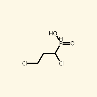 O=[PH](O)C(Cl)CCCl